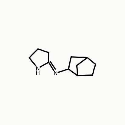 C1CNC(=NC2CC3CCC2C3)C1